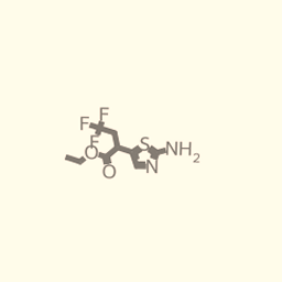 CCOC(=O)C(CC(F)(F)F)c1cnc(N)s1